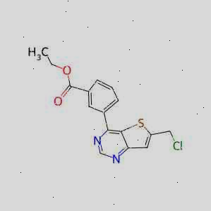 CCOC(=O)c1cccc(-c2ncnc3cc(CCl)sc23)c1